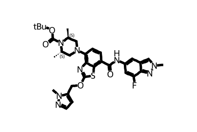 C[C@H]1CN(c2ccc(C(=O)Nc3cc(F)c4nn(C)cc4c3)c3sc(OCc4ccnn4C)nc23)C[C@H](C)N1C(=O)OC(C)(C)C